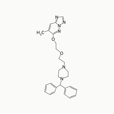 Cc1cc2ncnn2nc1OCCOCCN1CCN(C(c2ccccc2)c2ccccc2)CC1